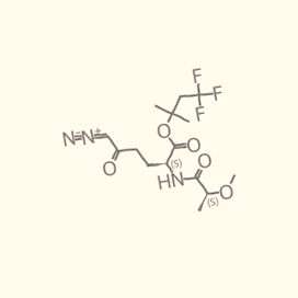 CO[C@@H](C)C(=O)N[C@@H](CCC(=O)C=[N+]=[N-])C(=O)OC(C)(C)CC(F)(F)F